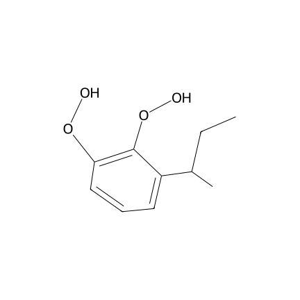 CCC(C)c1cccc(OO)c1OO